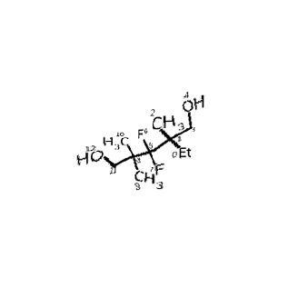 CCC(C)(CO)C(F)(F)C(C)(C)CO